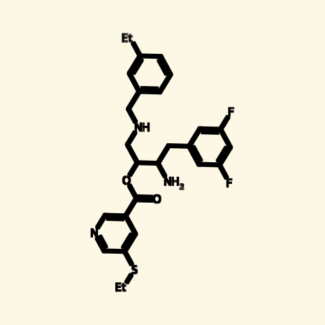 CCSc1cncc(C(=O)OC(CNCc2cccc(CC)c2)C(N)Cc2cc(F)cc(F)c2)c1